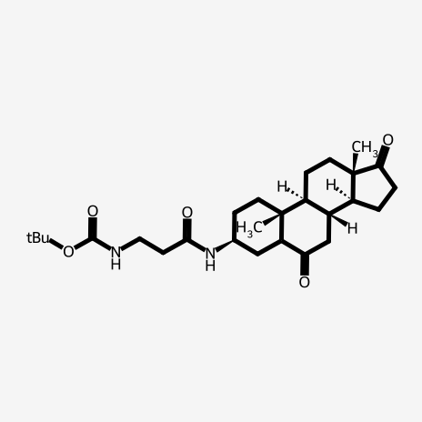 CC(C)(C)OC(=O)NCCC(=O)N[C@H]1CC[C@@]2(C)C(C1)C(=O)C[C@@H]1[C@@H]2CC[C@]2(C)C(=O)CC[C@@H]12